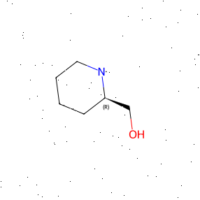 OC[C@H]1CCCC[N]1